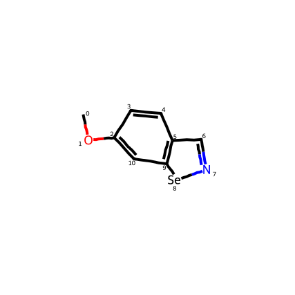 COc1ccc2cn[se]c2c1